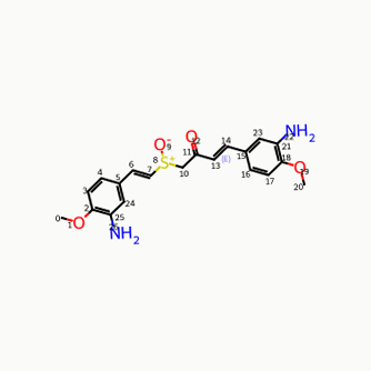 COc1ccc(C=C[S+]([O-])CC(=O)/C=C/c2ccc(OC)c(N)c2)cc1N